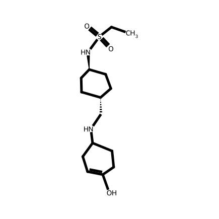 CCS(=O)(=O)N[C@H]1CC[C@H](CNC2CC=C(O)CC2)CC1